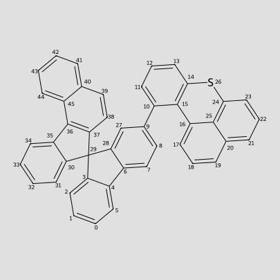 c1ccc2c(c1)-c1ccc(-c3cccc4c3-c3cccc5cccc(c35)S4)cc1C21c2ccccc2-c2c1ccc1ccccc21